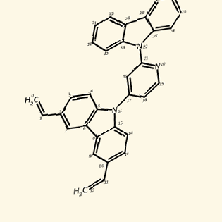 C=Cc1ccc2c(c1)c1cc(C=C)ccc1n2-c1ccnc(-n2c3ccccc3c3ccccc32)c1